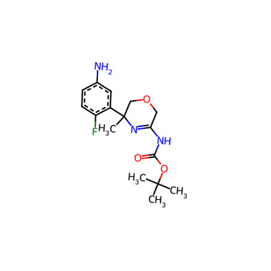 CC(C)(C)OC(=O)NC1=NC(C)(c2cc(N)ccc2F)COC1